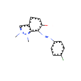 Cn1c2c(N=Nc3ccc(Cl)cc3)c(O)ccc2c[n+]1C